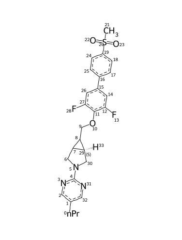 CCCc1cnc(N2CC3C(COc4c(F)cc(-c5ccc(S(C)(=O)=O)cc5)cc4F)[C@H]3C2)nc1